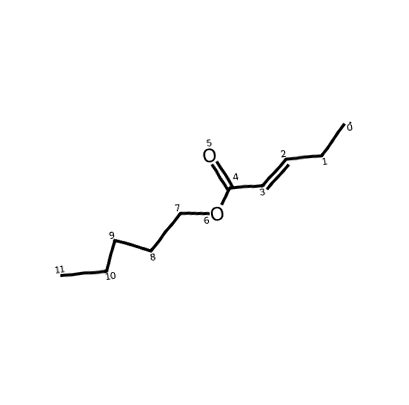 [CH2]CC=CC(=O)OCCCCC